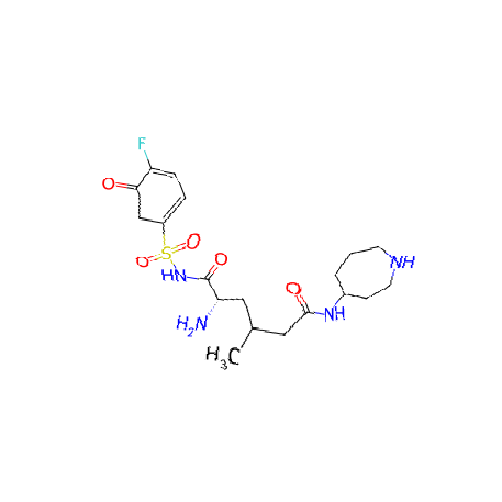 CC(CC(=O)NC1CCCNCC1)C[C@H](N)C(=O)NS(=O)(=O)C1=CC=C(F)C(=O)C1